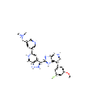 COc1cc(F)cc(-c2cncc3[nH]c(-c4n[nH]c5cnc(-c6cncc(CN(C)C)c6)cc45)nc23)c1